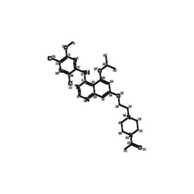 COc1nc(Nc2ncnc3cc(OCCN4CCN(C(C)=O)CC4)cc(OC(C)C)c23)c(Cl)nc1Cl